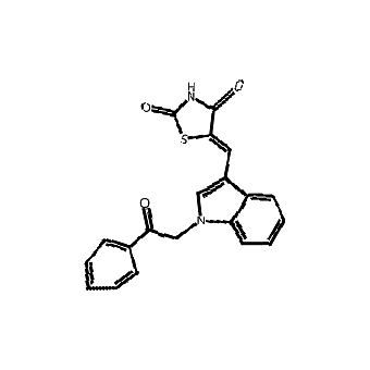 O=C1NC(=O)/C(=C/c2cn(CC(=O)c3ccccc3)c3ccccc23)S1